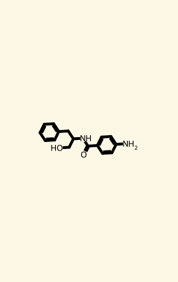 Nc1ccc(C(=O)NC(CO)Cc2ccccc2)cc1